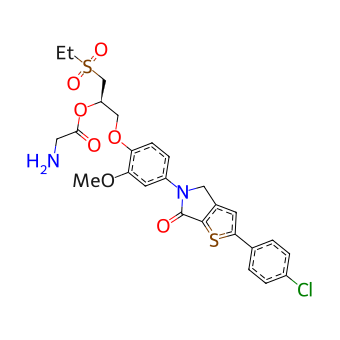 CCS(=O)(=O)C[C@@H](COc1ccc(N2Cc3cc(-c4ccc(Cl)cc4)sc3C2=O)cc1OC)OC(=O)CN